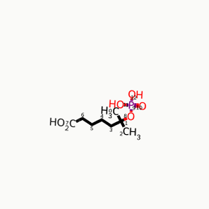 CC(C)(CCCCC(=O)O)OP(=O)(O)O